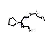 COC[C@@H](C)N/C=C/C(=N\C=N)N1CCCC1